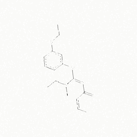 C=C(/C=C\C)/N=C(/Nc1cccc(NCC)c1)N(C)CC